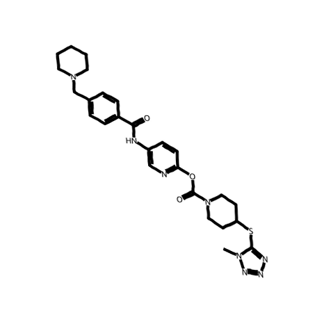 Cn1nnnc1SC1CCN(C(=O)Oc2ccc(NC(=O)c3ccc(CN4CCCCC4)cc3)cn2)CC1